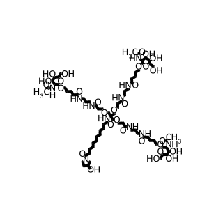 CC(=O)NC1C(OCCCCC(=O)NCCCNC(=O)CCOCC(COCCC(=O)NCCCNC(=O)CCCCOC2OC(CO)C(O)C(O)C2NC(C)=O)(COCCC(=O)NCCCNC(=O)CCCCOC2OC(CO)C(O)C(O)C2NC(C)=O)NC(=O)CCCCCCCCCCC(=O)N2CCC(O)C2)OC(CO)C(O)C1O